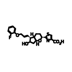 O=C(O)c1csc([C@H]2CC[C@@H]3[C@@H](/C=C/COc4ccccc4F)[C@H](O)C[C@@H]3O2)n1